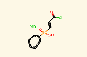 Cl.O=C(Cl)C=CP(=O)(O)c1ccccc1